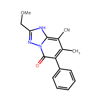 COCc1nn2c(=O)c(-c3ccccc3)c(C)c(C#N)c2[nH]1